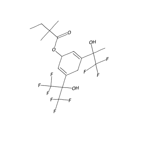 CCC(C)(C)C(=O)OC1C=C(C(C)(O)C(F)(F)F)CC(C(O)(C(F)(F)F)C(F)(F)F)=C1